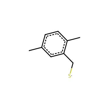 Cc1ccc(C)c(C[S])c1